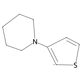 [c]1sccc1N1CCCCC1